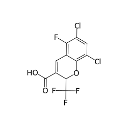 O=C(O)C1=Cc2c(F)c(Cl)cc(Cl)c2OC1C(F)(F)F